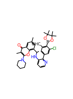 Cc1cc(C(C)Nc2cccnc2-c2cc(Cl)c(B3OC(C)(C)C(C)(C)O3)c(C=O)c2)c2oc(N3CCCCC3)c(C)c(=O)c2c1